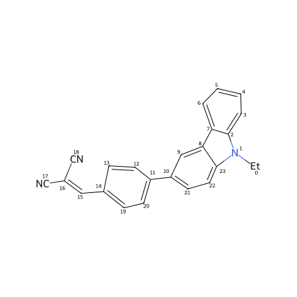 CCn1c2ccccc2c2cc(-c3ccc(C=C(C#N)C#N)cc3)ccc21